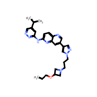 CCCOC1CN(CCCn2cc(-c3cnc4ccc(Nc5cc(C(C)C)cnn5)nc4c3)cn2)C1